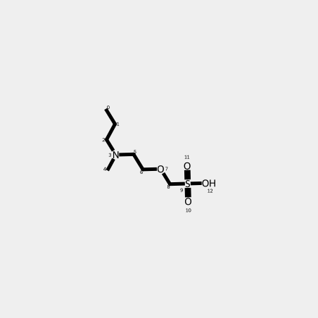 CCCN(C)CCOCS(=O)(=O)O